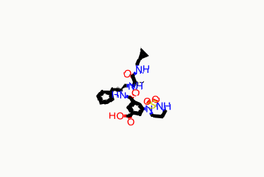 C[C@H](NC[C@H](Cc1ccccc1)NC(=O)c1cc(C(=O)O)cc(N2CCCNS2(=O)=O)c1)C(=O)NCC1CC1